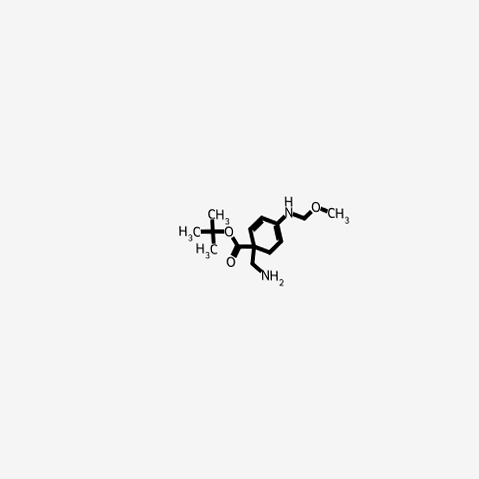 COCNC1=CCC(CN)(C(=O)OC(C)(C)C)C=C1